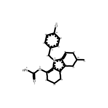 CCCC(=O)OC1=c2c(c3c(n2Cc2ccc(Cl)cc2)=CCC(C)C3)CCC1